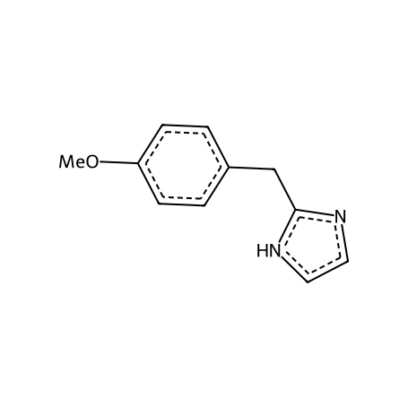 COc1ccc(Cc2ncc[nH]2)cc1